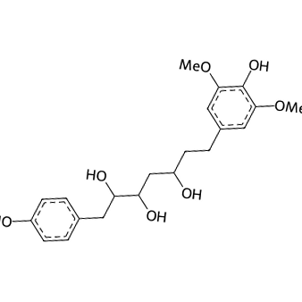 COc1cc(CCC(O)CC(O)C(O)Cc2ccc(O)cc2)cc(OC)c1O